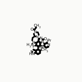 C=CC(=O)N1CCN2c3nc(=O)n(-c4c(C)ccnc4C(C)C)c4c(Cl)c(-c5c(C)ccc6[nH]ncc56)c(F)c(c34)N(C)CCC2C1